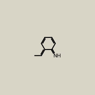 CC=C1C=CC=CC1=N